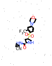 N#CC1(NC(=O)[C@@H]2C[C@@H](S(=O)(=O)c3ccc(N4CCOCC4)cc3C(F)(F)F)CN2)CC1